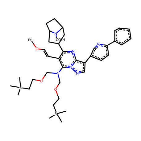 CCOC=Cc1c(C2CC3CCC(C2)N3C(=O)O)nc2c(-c3ccc(-c4ccccc4)nc3)cnn2c1N(COCC[Si](C)(C)C)COCC[Si](C)(C)C